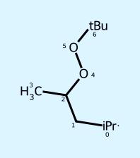 C[C](C)CC(C)OOC(C)(C)C